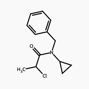 CC(Cl)C(=O)N(Cc1ccccc1)C1CC1